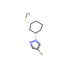 CS[C@@H]1CCC[C@H](n2cc(Br)cn2)C1